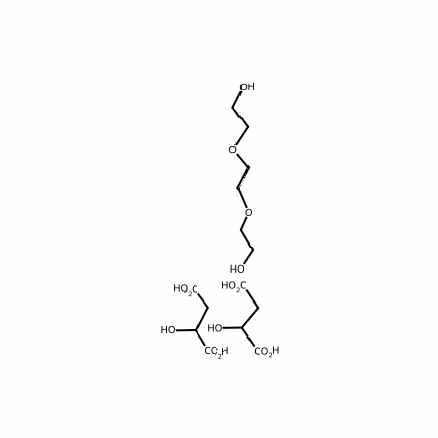 O=C(O)CC(O)C(=O)O.O=C(O)CC(O)C(=O)O.OCCOCCOCCO